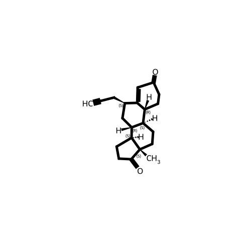 C#CC[C@@H]1C[C@@H]2[C@H](CC[C@]3(C)C(=O)CC[C@@H]23)[C@H]2CCC(=O)C=C12